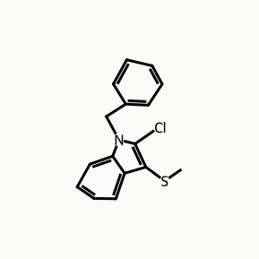 CSc1c(Cl)n(Cc2ccccc2)c2ccccc12